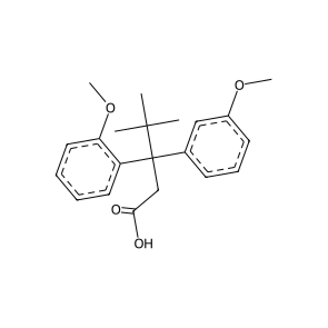 COc1cccc(C(CC(=O)O)(c2ccccc2OC)C(C)(C)C)c1